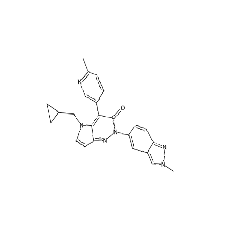 Cc1ccc(-c2c(=O)n(-c3ccc4nn(C)cc4c3)nc3ccn(CC4CC4)c23)cn1